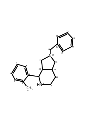 Cc1ccccc1C1NCCC2CN(Cc3ccccc3)CC21